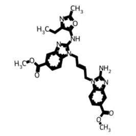 CCc1nc(C)oc1Nc1nc2cc(C(=O)OC)ccc2n1C/C=C/Cn1c(N)nc2cc(C(=O)OC)ccc21